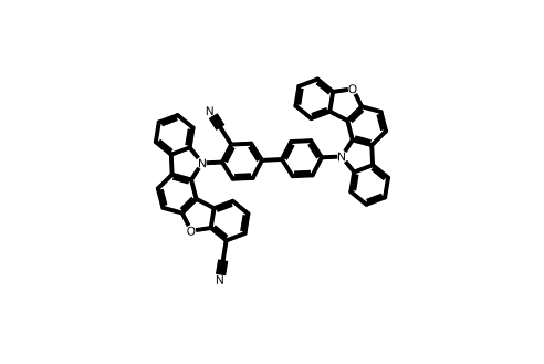 N#Cc1cc(-c2ccc(-n3c4ccccc4c4ccc5oc6ccccc6c5c43)cc2)ccc1-n1c2ccccc2c2ccc3oc4c(C#N)cccc4c3c21